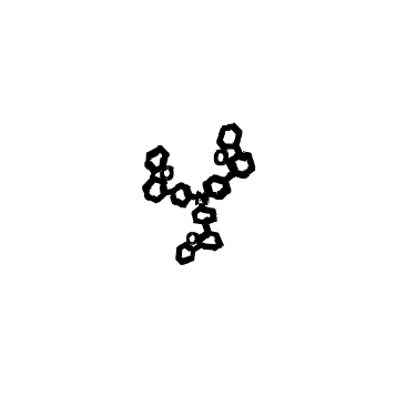 C1=CC2OC3=C(C4=CC=C(N(C5=CCC(C6=c7oc8ccccc8c7=CCC6)C=C5)c5ccc(C6=C7OC8CCCCC8C7=CCC6)cc5)CC4)CCC=C3C2C=C1